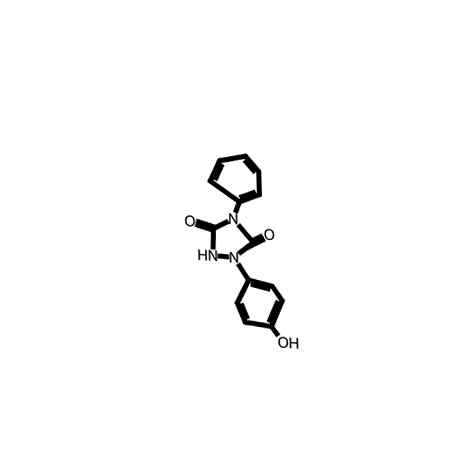 O=c1[nH]n(-c2ccc(O)cc2)c(=O)n1-c1ccccc1